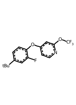 CC(C)(C)c1ccc(Oc2ccnc(OC(F)(F)F)c2)c(F)c1